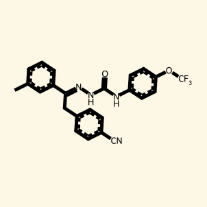 Cc1cccc(/C(Cc2ccc(C#N)cc2)=N/NC(=O)Nc2ccc(OC(F)(F)F)cc2)c1